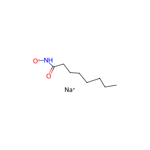 CCCCCCCC(=O)N[O-].[Na+]